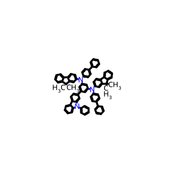 CC1(C)c2ccccc2-c2ccc(N(c3ccc(-c4ccccc4)cc3)c3cc(-c4ccc5c6ccccc6n(-c6ccccc6)c5c4)cc(N(c4ccc(-c5ccccc5)cc4)c4ccc5c(c4)C(C)(C)c4ccccc4-5)c3)cc21